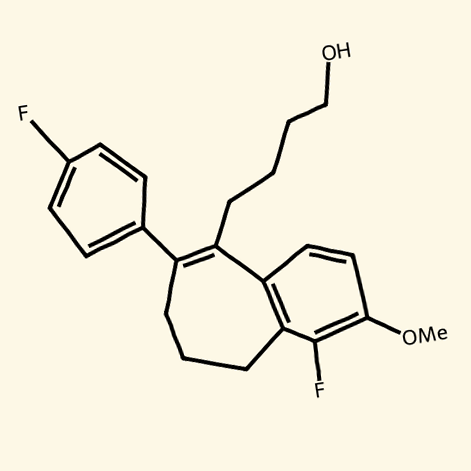 COc1ccc2c(c1F)CCCC(c1ccc(F)cc1)=C2CCCCO